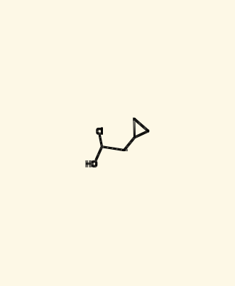 OC(Cl)[CH]C1CC1